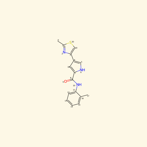 Cc1nc(-c2c[nH]c(C(=O)Nc3ccccc3C)c2)cs1